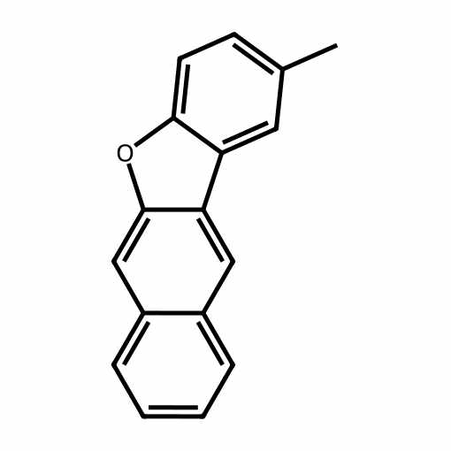 Cc1ccc2oc3cc4ccccc4cc3c2c1